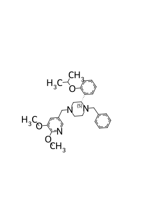 COc1cc(CN2CCN(Cc3ccccc3)[C@@H](c3ccccc3OC(C)C)C2)cnc1OC